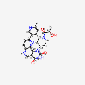 Cc1ccc(-c2ccc3ncc4c(=O)[nH]c(=O)n(C5CCN(C(=O)[C@@H](C)O)CC5)c4c3n2)cn1